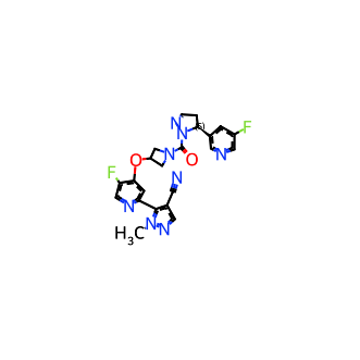 Cn1ncc(C#N)c1-c1cc(OC2CN(C(=O)N3N=CC[C@H]3c3cncc(F)c3)C2)c(F)cn1